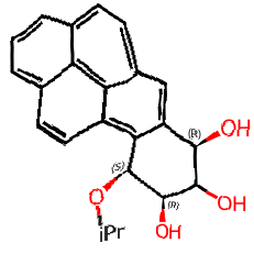 CC(C)O[C@H]1c2c(cc3ccc4cccc5ccc2c3c45)[C@@H](O)C(O)[C@H]1O